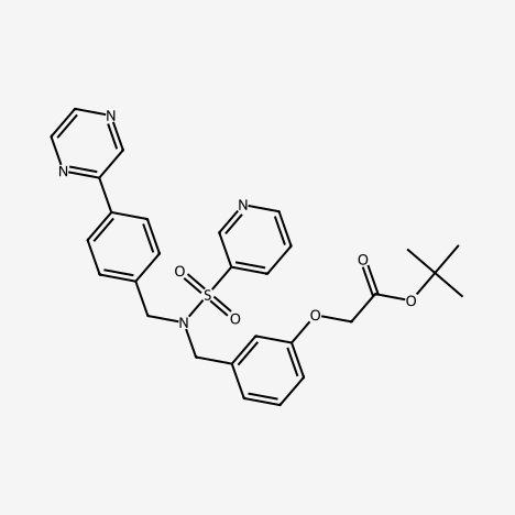 CC(C)(C)OC(=O)COc1cccc(CN(Cc2ccc(-c3cnccn3)cc2)S(=O)(=O)c2cccnc2)c1